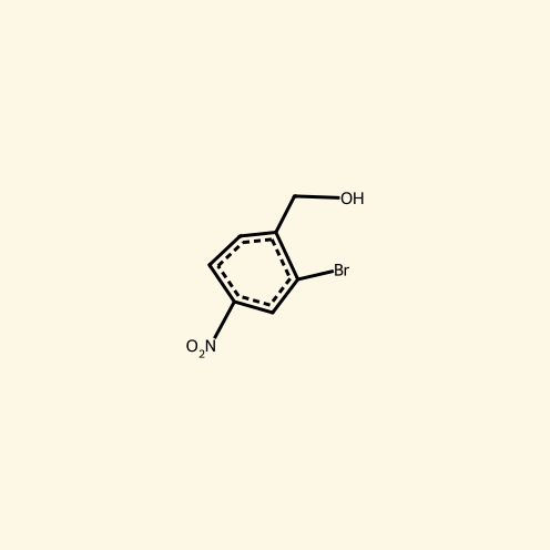 O=[N+]([O-])c1ccc(CO)c(Br)c1